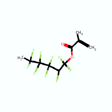 C=C(C)C(=O)OC(F)(F)C(F)C(F)(F)C(F)(F)C(C)(F)F